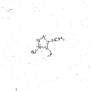 Cc1ncn(C(C)(C)C)c1F